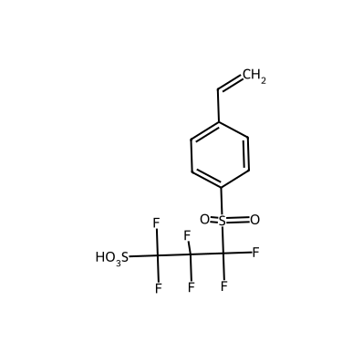 C=Cc1ccc(S(=O)(=O)C(F)(F)C(F)(F)C(F)(F)S(=O)(=O)O)cc1